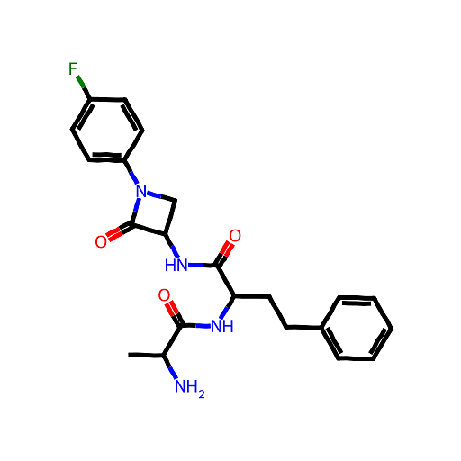 CC(N)C(=O)NC(CCc1ccccc1)C(=O)NC1CN(c2ccc(F)cc2)C1=O